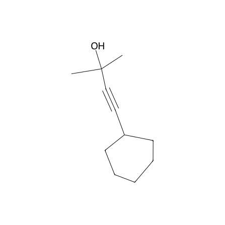 CC(C)(O)C#CC1CCCCC1